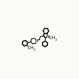 Cc1[c]cccc1C1CCN(CCc2c(-c3ccccc3)n(C)c3ccccc23)CC1